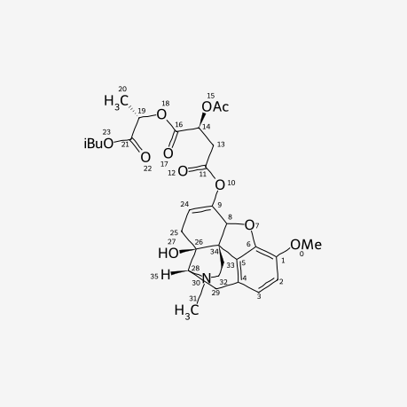 COc1ccc2c3c1OC1C(OC(=O)C[C@H](OC(C)=O)C(=O)O[C@@H](C)C(=O)OCC(C)C)=CC[C@@]4(O)[C@@H](C2)N(C)CC[C@]314